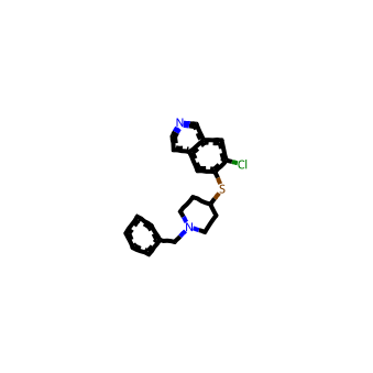 Clc1cc2cnccc2cc1SC1CCN(Cc2ccccc2)CC1